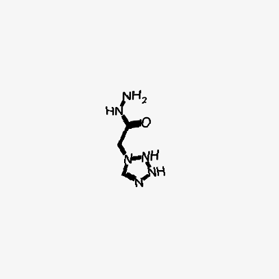 NNC(=O)CN1C=NNN1